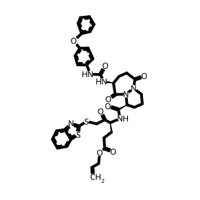 C=CCOC(=O)CC[C@H](NC(=O)[C@@H]1CCCN2C(=O)CC[C@H](NC(=O)Nc3ccc(Oc4ccccc4)cc3)C(=O)N12)C(=O)CSc1nc2ccccc2s1